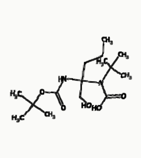 CCCC(CO)(NC(=O)OC(C)(C)C)N(C(=O)O)C(C)(C)C